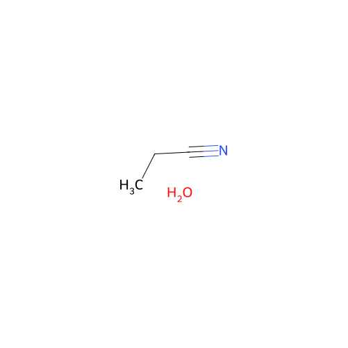 CCC#N.O